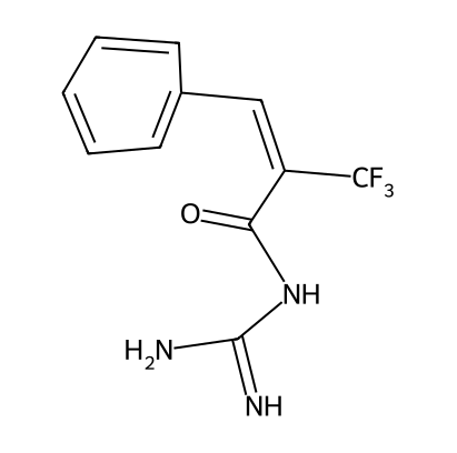 N=C(N)NC(=O)C(=Cc1ccccc1)C(F)(F)F